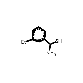 CCc1cccc(C(C)S)c1